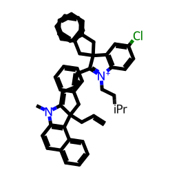 C=CCC1(Cc2ccccc2)/C(=C\C=C\C2=[N+](CCC(C)C)c3ccc(Cl)cc3C2(Cc2ccccc2)Cc2ccccc2)N(C)c2ccc3ccccc3c21